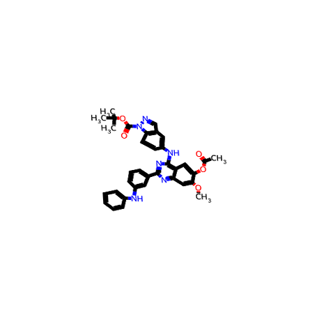 COc1cc2nc(-c3cccc(Nc4ccccc4)c3)nc(Nc3ccc4c(cnn4C(=O)OC(C)(C)C)c3)c2cc1OC(C)=O